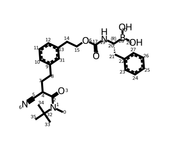 CN(C(=O)C(C#N)CCc1cccc(CCOC(=O)N[C@@H](Cc2ccccc2)B(O)O)c1)C(C)(C)C